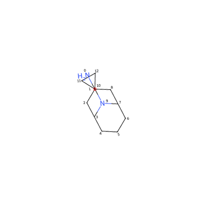 NC1CC2CCCC(C1)N2C1CC1